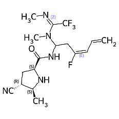 C=C/C=C(/F)CC(NC(=O)[C@@H]1C[C@@H](C#N)[C@H](C)N1)N(C)/C(=N\C)C(F)(F)F